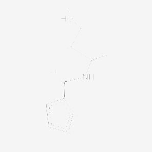 CC(CCO)NC(=O)c1ccsc1